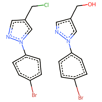 ClCc1cnn(-c2ccc(Br)cc2)c1.OCc1cnn(-c2ccc(Br)cc2)c1